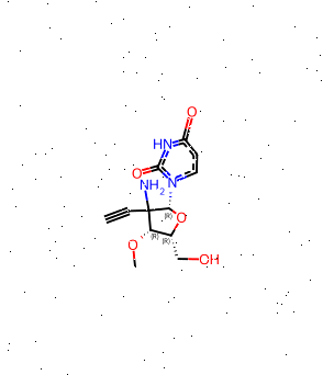 C#CC1(N)[C@@H](OC)[C@@H](CO)O[C@H]1n1ccc(=O)[nH]c1=O